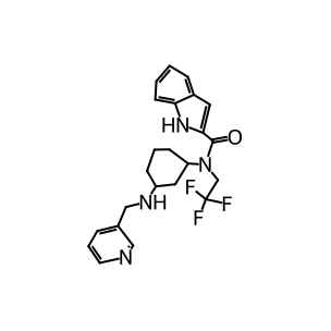 O=C(c1cc2ccccc2[nH]1)N(CC(F)(F)F)C1CCCC(NCc2cccnc2)C1